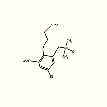 CCCCCCCCCCCCOc1c(C[N+](C)(C)[O-])cc(CC)cc1OC